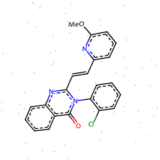 COc1cccc(C=Cc2nc3ccccc3c(=O)n2-c2ccccc2Cl)n1